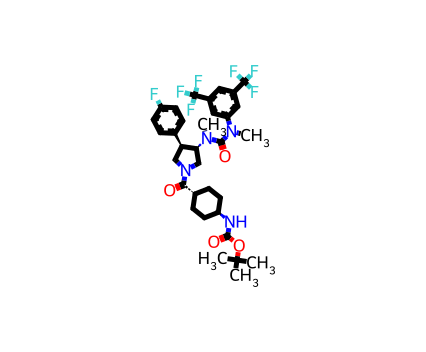 CN(C(=O)N(C)[C@@H]1CN(C(=O)[C@H]2CC[C@H](NC(=O)OC(C)(C)C)CC2)C[C@H]1c1ccc(F)cc1)c1cc(C(F)(F)F)cc(C(F)(F)F)c1